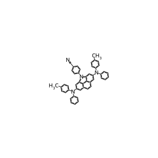 Cc1ccc(N(c2ccccc2)c2cc3ccc4cc(N(c5ccccc5)c5ccc(C)cc5)cc5c4c3c(c2)n5-c2ccc(C#N)cc2)cc1